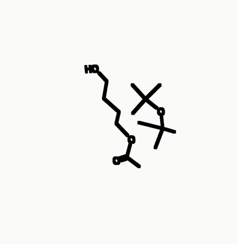 CC(=O)OCCCCO.CC(C)(C)OC(C)(C)C